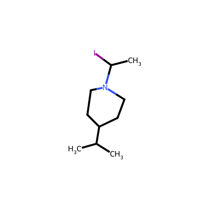 CC(C)C1CCN(C(C)I)CC1